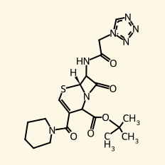 CC(C)(C)OC(=O)C1C(C(=O)N2CCCCC2)=CS[C@@H]2C(NC(=O)Cn3cnnn3)C(=O)N12